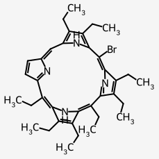 CCC1=C(CC)c2nc1c(Br)c1[nH]c(cc3nc(c(CC)c4[nH]c(c2CC)c(CC)c4CC)C=C3)c(CC)c1CC